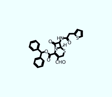 O=CC1=C(C(=O)OC(c2ccccc2)c2ccccc2)N2C(=O)C(NC(=O)Cc3cccs3)[C@H]2SC1